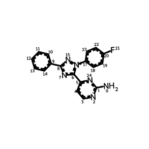 Nc1nccc(-c2nc(-c3ccccc3)nn2-c2ccc(F)cc2)n1